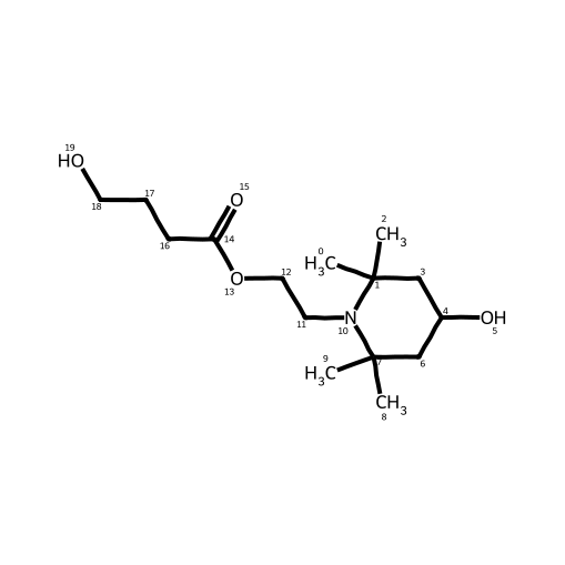 CC1(C)CC(O)CC(C)(C)N1CCOC(=O)CCCO